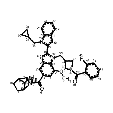 COc1cc(C(=O)N2CC3CCC2[C@@H]3N)cc2nc(-c3cc4ccccc4n3CC3CC3)n(CC3CN(C(=O)c4ccccc4F)C3)c12